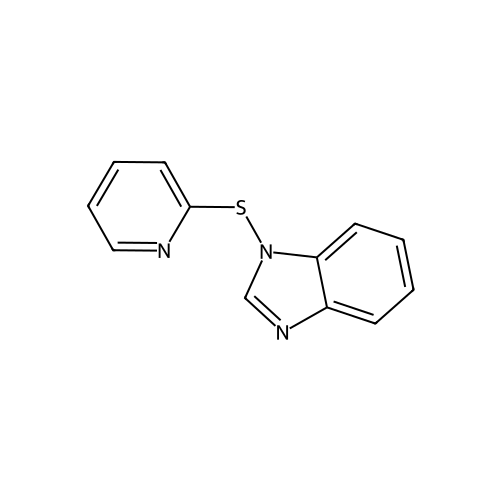 c1ccc(Sn2cnc3ccccc32)nc1